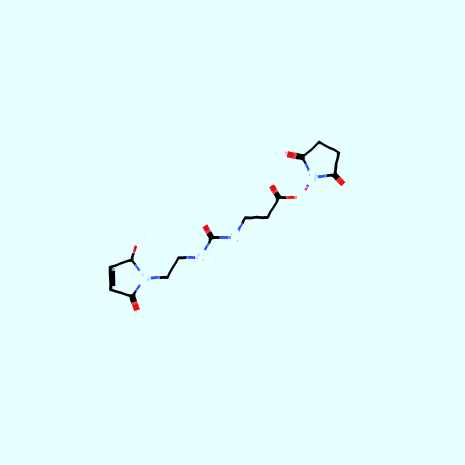 O=C(NCCC(=O)ON1C(=O)CCC1=O)NCCN1C(=O)C=CC1O